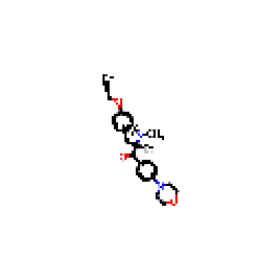 C#CCOc1ccc(CC(CC)(C(=O)c2ccc(N3CCOCC3)cc2)N(C)C)cc1